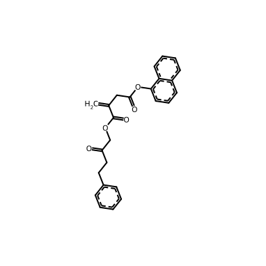 C=C(CC(=O)Oc1cccc2ccccc12)C(=O)OCC(=O)CCc1ccccc1